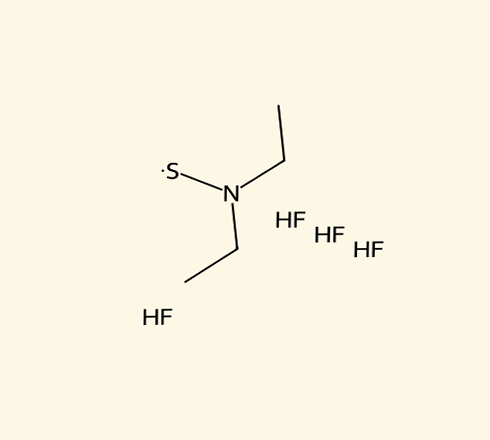 CCN([S])CC.F.F.F.F